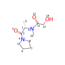 C[C@@H](C(=O)N1CCCC1)N(C)C(=O)CO